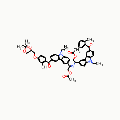 CCn1c2ccc(C(=O)c3ccc(OCC4COC(C)(C)O4)cc3C)cc2c2cc(C(COC(C)=O)=NC(COC(C)=O)c3ccc4c(c3)c3cc(C(=O)c5ccccc5C)ccc3n4CC)ccc21